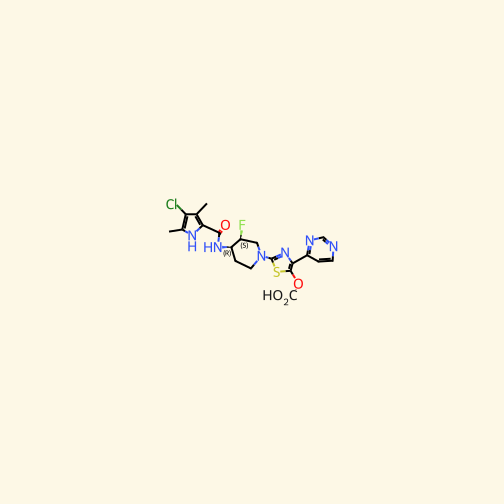 Cc1[nH]c(C(=O)N[C@@H]2CCN(c3nc(-c4ccncn4)c(OC(=O)O)s3)C[C@@H]2F)c(C)c1Cl